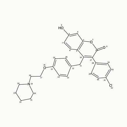 O=c1oc2cc(O)ccc2c(Cc2ccc(OCCN3CCCCC3)cc2)c1-c1ccc(Cl)cc1